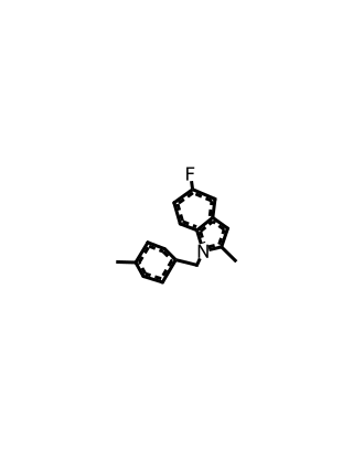 Cc1ccc(Cn2c(C)cc3cc(F)ccc32)cc1